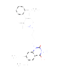 COc1cc2c(=O)[nH]c(=O)n(CCCCN3CC[C@@H]4c5c(OC)cccc5OC[C@H]4C3)c2cc1OC